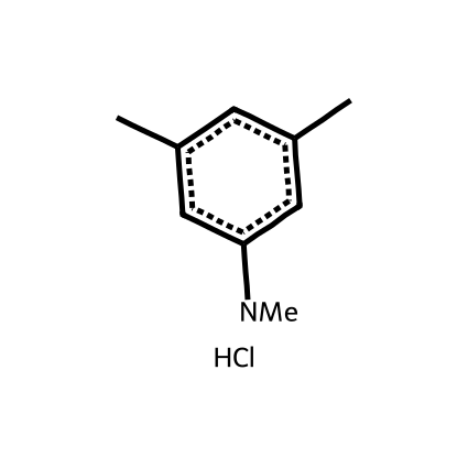 CNc1cc(C)cc(C)c1.Cl